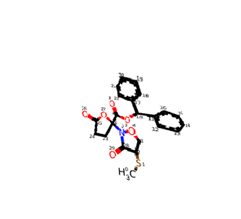 CSC1CON(C2(C(=O)OC(c3ccccc3)c3ccccc3)CCC(=O)O2)C1=O